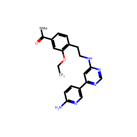 CNC(=O)c1ccc(CCNc2cc(-c3ccc(N)nc3)ncn2)c(OCC(F)(F)F)c1